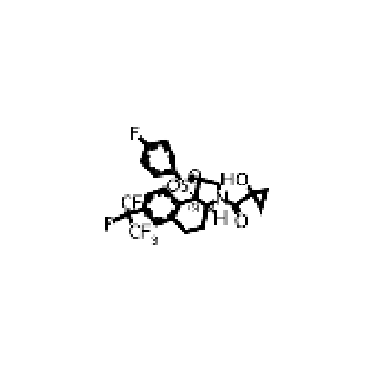 O=C(N1CC[C@]2(S(=O)(=O)c3ccc(F)cc3)c3ccc(C(F)(C(F)(F)F)C(F)(F)F)cc3CC[C@H]12)C1(O)CC1